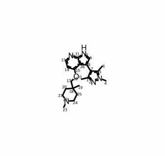 Cc1nn(C)c(C)c1-c1c[nH]c2nccc(OCC3(C)CCN(C)CC3)c12